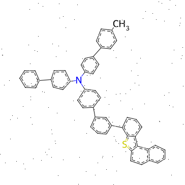 Cc1ccc(-c2ccc(N(c3ccc(-c4ccccc4)cc3)c3ccc(-c4cccc(-c5cccc6c5sc5ccc7ccccc7c56)c4)cc3)cc2)cc1